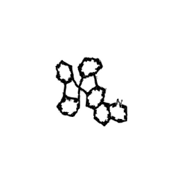 c1ccc2c(c1)-c1ccccc1C21c2ccccc2-c2cc3c(ccc4cccnc43)cc21